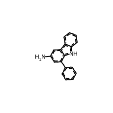 Nc1cc(-c2ccccc2)c2[nH]c3ccccc3c2c1